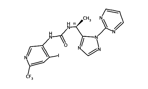 C[C@H](NC(=O)Nc1cnc(C(F)(F)F)cc1I)c1ncnn1-c1ncccn1